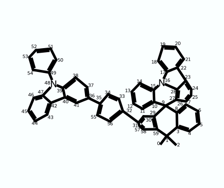 CC1(C)c2ccccc2C2(c3ccccc3-n3c4ccccc4c4cccc2c43)c2cc(-c3ccc(-c4ccc5c(c4)c4ccccc4n5-c4ccccc4)cc3)ccc21